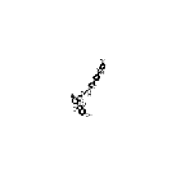 CN(C)c1ccc2nc(-c3ccc(-c4ccc(NCCOCCN5C(=O)CCC(N6C(=O)c7ccc(O)cc7C6=O)C5=O)nc4)cc3)sc2c1